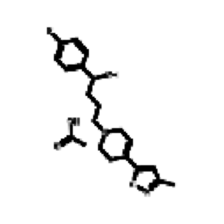 CC(=O)O.Cc1cc(C2=CCN(CCCC(O)c3ccc(F)cc3)CC2)on1